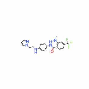 CN(C)c1cc(C(F)(F)F)ccc1C(=O)Nc1ccc(NCCn2cccn2)cc1